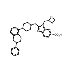 O=C(O)c1ccc2nc(CN3CCC(c4cccc5c4OCC(c4ccccc4)C5)CC3)n(CC3CCO3)c2n1